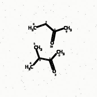 CC(=O)C(C)C.CCC(C)=O